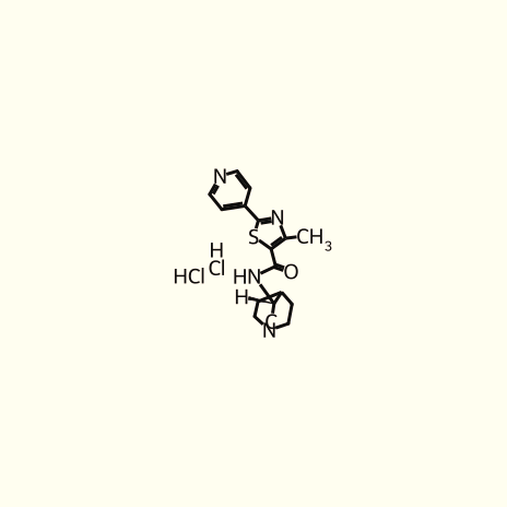 Cc1nc(-c2ccncc2)sc1C(=O)N[C@H]1CN2CCC1CC2.Cl.Cl